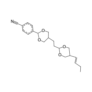 CCC=CC1COC(CCC2COC(c3ccc(C#N)cc3)OC2)OC1